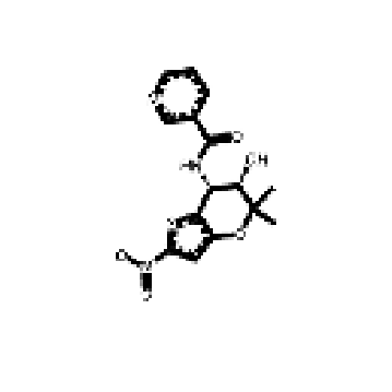 CC1(C)Oc2cc([N+](=O)[O-])sc2[C@H](NC(=O)c2cccnc2)[C@H]1O